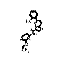 O=C(Nc1ccnc(OCC(F)(F)F)n1)c1cnc2ccc(-c3ccccc3C(F)(F)F)nn12